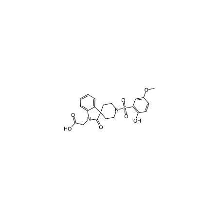 COc1ccc(O)c(S(=O)(=O)N2CCC3(CC2)C(=O)N(CC(=O)O)c2ccccc23)c1